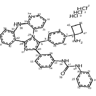 Cl.Cl.Cl.NC1(c2ccc(-c3c(-c4cccc(NC(=O)Nc5ccccc5)c4)nc4n3-c3cccnc3Nc3ccccc3-4)cc2)CCC1